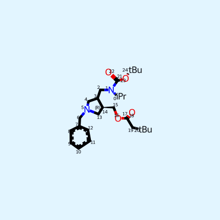 CC(C)N(CC1CN(Cc2ccccc2)C[C@@H]1COC(=O)CC(C)(C)C)C(=O)OC(C)(C)C